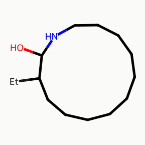 CCC1CCCCCCCCCCNC1O